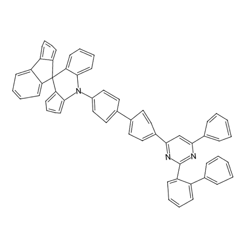 c1ccc(-c2cc(-c3ccc(-c4ccc(N5c6ccccc6C6(c7ccccc7-c7ccccc76)c6ccccc65)cc4)cc3)nc(-c3ccccc3-c3ccccc3)n2)cc1